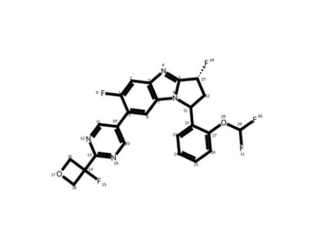 Fc1cc2nc3n(c2cc1-c1cnc(C2(F)COC2)nc1)C(c1ccccc1OC(F)F)C[C@H]3F